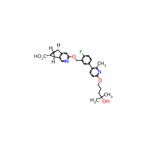 Cc1nc(OCCCC(C)(C)O)ccc1-c1ccc(F)c(COc2cc3c(cn2)[C@H]2[C@H]4[C@@H]3[C@@]42C(=O)O)c1